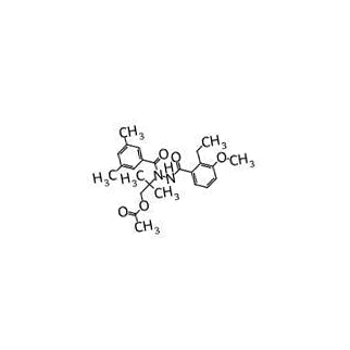 CCc1c(OC)cccc1C(=O)NN(C(=O)c1cc(C)cc(C)c1)C(C)(C)COC(C)=O